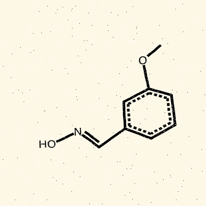 COc1cccc(/C=N/O)c1